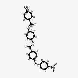 CN(C)c1cc[n+](Cc2ccc(C(=O)Oc3ccc(OC(=O)c4ccc(O)cc4)cc3)cc2)cc1